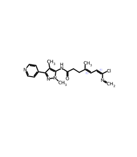 C=N/C(Cl)=C\C=C(/C)CCC(=O)Nc1c(C)c(-c2ccncc2)nn1C